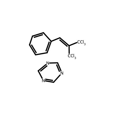 ClC(Cl)(Cl)C(=Cc1ccccc1)C(Cl)(Cl)Cl.c1ncncn1